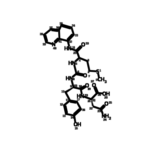 CSCCC(NC(=O)N[C@H](Cc1ccc(O)cc1)C(=O)N[C@@H](CC(N)=O)C(=O)O)C(=O)Nc1cccc2cccnc12